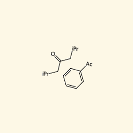 CC(=O)c1ccccc1.CC(C)CC(=O)CC(C)C